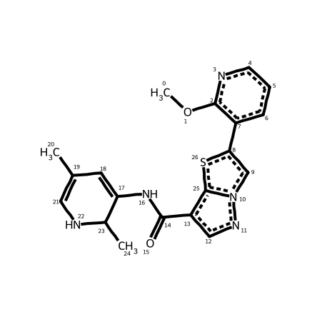 COc1ncccc1-c1cn2ncc(C(=O)NC3=CC(C)=CNC3C)c2s1